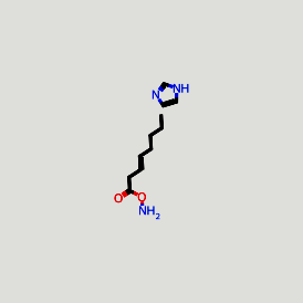 CCCCC=CCC(=O)ON.c1c[nH]cn1